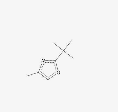 Cc1coc(C(C)(C)C)n1